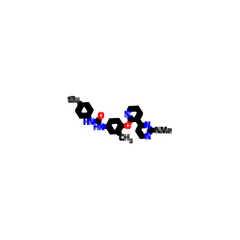 CNc1nccc(-c2cccnc2Oc2ccc(NC(=O)Nc3ccc(C(C)(C)C)cc3)cc2C)n1